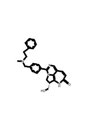 CN(CCc1ccccc1)Cc1ccc(C2=NC=C3C=CC(=O)NC4=C3N2C[C@H]4CO)cc1